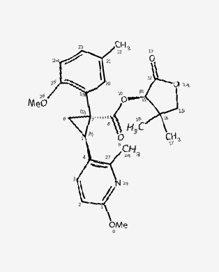 COc1ccc([C@H]2C[C@@]2(C(=O)O[C@H]2C(=O)OCC2(C)C)c2cc(C)ccc2OC)c(C)n1